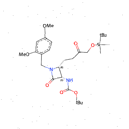 COc1ccc(CN2C(=O)[C@@H](NC(=O)OC(C)(C)C)[C@H]2CCC(=O)CO[Si](C)(C)C(C)(C)C)c(OC)c1